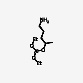 CC[O][Al]([O]CC)[O]C(C)CCCN